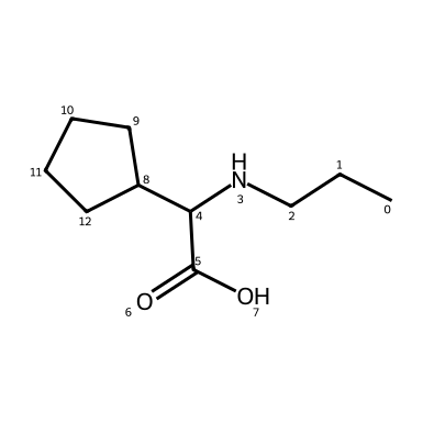 CCCNC(C(=O)O)C1CCCC1